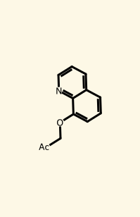 CC(=O)COc1cccc2cccnc12